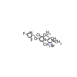 C=N/C(Br)=C\C(=C(C)C)n1c(C)cc(OCc2ncc(F)cc2F)c(Cl)c1=O